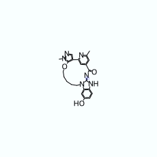 Cc1cc2cc(n1)-c1cnn(C)c1OCCCCCN1/C(=N/C2=O)Nc2ccc(O)cc21